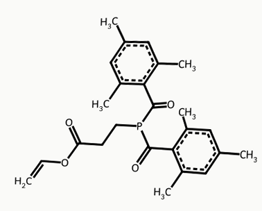 C=COC(=O)CCP(C(=O)c1c(C)cc(C)cc1C)C(=O)c1c(C)cc(C)cc1C